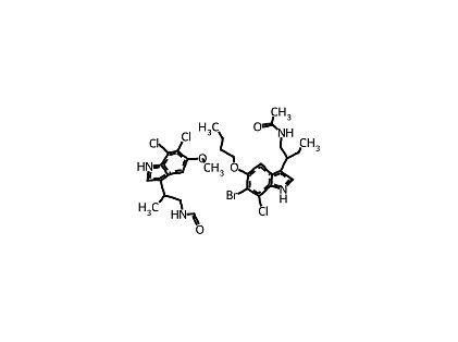 CCCCOc1cc2c(C(CC)CNC(C)=O)c[nH]c2c(Cl)c1Br.COc1cc2c(C(C)CNC=O)c[nH]c2c(Cl)c1Cl